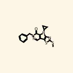 CSc1nc2c(s1)c1cnn(Cc3ccccc3)c(=O)c1n2C1CC1